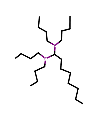 CCCCCCCC(P(CCCC)CCCC)P(CCCC)CCCC